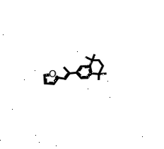 CC(=Cc1ccco1)c1ccc2c(c1)C(C)(C)CCC2(C)C